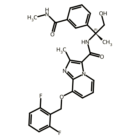 CNC(=O)c1cccc([C@](C)(CO)NC(=O)c2c(C)nc3c(OCc4c(F)cccc4F)cccn23)c1